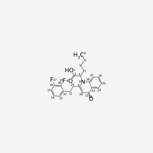 CCCCC(C(=O)O)n1c(CCc2cccc(F)c2F)cc(=O)c2ccccc21